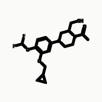 CC(=O)N1CCN(c2ccc(OC(F)F)c(OCC3CC3)c2)CC1CO